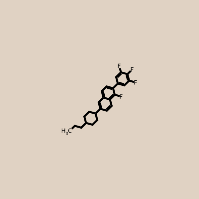 CCCC1CCC(c2ccc3c(F)c(-c4cc(F)c(F)c(F)c4)ccc3c2)CC1